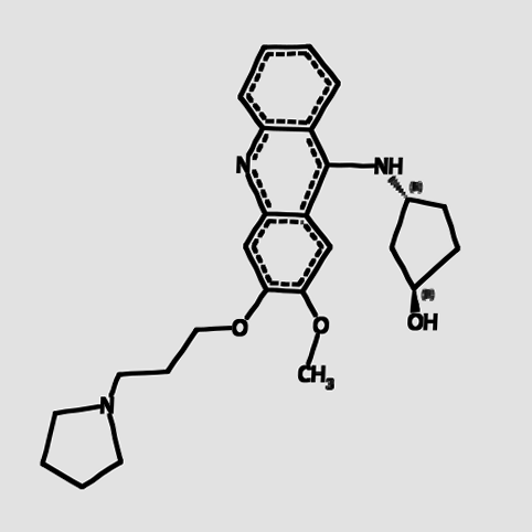 COc1cc2c(N[C@@H]3CC[C@@H](O)C3)c3ccccc3nc2cc1OCCCN1CCCC1